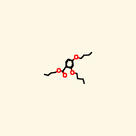 CCCCOC(=O)c1ccc(OCCCC)cc1OCCCC